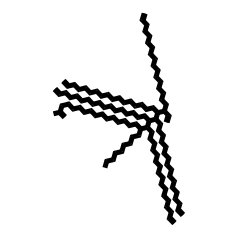 C=CCCCCCCCCCCCCCCCC(C=C)C(CCCCCCCCCCCCCCCC=C)C(CCCCCCCCCCCCCCCC=C)C(CCCCCCCCCCCCCCCC=C)C(CCCCCCCCCCCCCCCC=C)C(CCCCCCCCC)CCCCCCCCCCCCCCC(=C)C